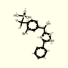 O=P(O)(O)C(F)(F)c1ccc(C(S)c2n[nH]c(-c3ccccc3)n2)cc1Br